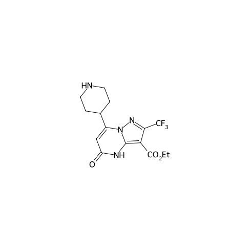 CCOC(=O)c1c(C(F)(F)F)nn2c(C3CCNCC3)cc(=O)[nH]c12